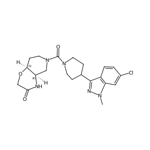 Cn1nc(C2CCN(C(=O)N3CC[C@@H]4OCC(=O)N[C@@H]4C3)CC2)c2ccc(Cl)cc21